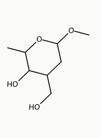 COC1CC(CO)C(O)C(C)O1